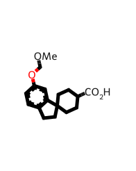 COCOc1ccc2c(c1)C1(CC2)CCC(C(=O)O)CC1